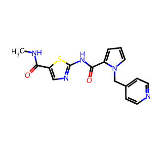 CNC(=O)c1cnc(NC(=O)c2cccn2Cc2ccncc2)s1